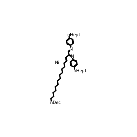 CCCCCCCCCCCCCCCCCCCCCCCC=CC(C=Nc1ccc(CCCCCCC)cc1)=Nc1ccc(CCCCCCC)cc1.[Ni]